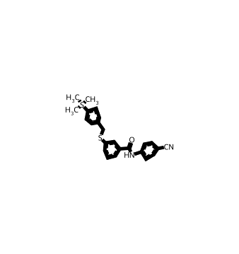 CS(C)(C)c1ccc(CSc2cccc(C(=O)Nc3ccc(C#N)cc3)c2)cc1